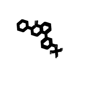 FC(F)(F)Oc1cccc(-c2cccc3c2CCC(C2CCCCC2)N3)c1